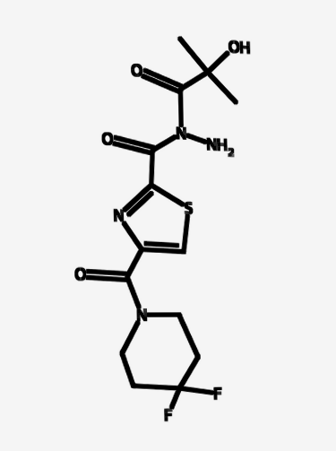 CC(C)(O)C(=O)N(N)C(=O)c1nc(C(=O)N2CCC(F)(F)CC2)cs1